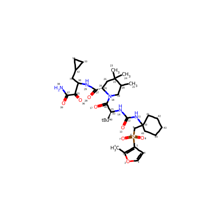 Cc1occc1S(=O)(=O)CC1(NC(=O)N[C@H](C(=O)N2CC(C)C(C)(C)C[C@H]2C(=O)NC(CC2CC2)C(=O)C(N)=O)C(C)(C)C)CCCCC1